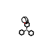 c1ccc(N(c2ccccc2)c2ccc3c(c2)C2CC4CC(CC3C4)C2)cc1